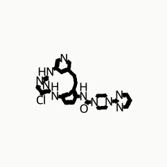 O=C(Nc1ccc2cc1CCc1cncc(c1)Nc1ncc(Cl)c(n1)N2)N1CCN(c2ncccn2)CC1